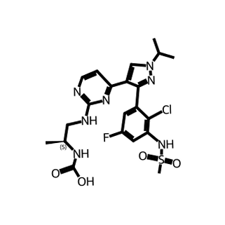 CC(C)n1cc(-c2ccnc(NC[C@H](C)NC(=O)O)n2)c(-c2cc(F)cc(NS(C)(=O)=O)c2Cl)n1